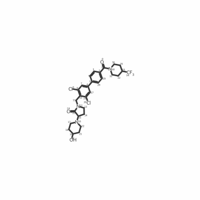 O=C(c1ccc(-c2cc(Cl)c(CN3CCC(N4CCC(O)CC4)C3=O)c(Cl)c2)cc1)N1CCC(C(F)(F)F)CC1